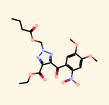 CCCC(=O)OCn1nc(C(=O)OCC)c(C(=O)c2cc(OC)c(OC)cc2[N+](=O)[O-])n1